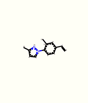 C=Cc1ccc(-n2ccc(C)n2)c(C)c1